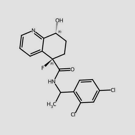 CC(NC(=O)[C@@]1(F)CC[C@@H](O)c2ncccc21)c1ccc(Cl)cc1Cl